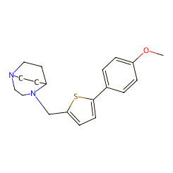 COc1ccc(-c2ccc(CN3CCN4CCC3CC4)s2)cc1